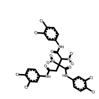 O=C(CC(C(=O)Nc1ccc(Cl)c(Cl)c1)(C(C(=O)Nc1ccc(Cl)c(Cl)c1)[N+](=O)[O-])[N+](=O)[O-])Nc1ccc(Cl)c(Cl)c1